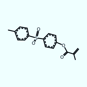 C=C(C)C(=O)Oc1ccc(S(=O)(=O)c2ccc(C)cc2)cc1